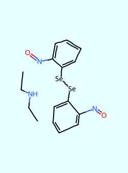 CCNCC.O=Nc1ccccc1[Se][Se]c1ccccc1N=O